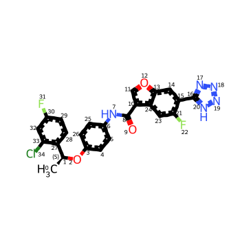 C[C@H](Oc1ccc(NC(=O)c2coc3cc(-c4nnn[nH]4)c(F)cc23)cc1)c1ccc(F)cc1Cl